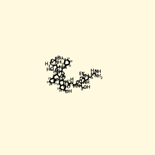 CCCCC(=O)NC(C(=O)NC(Cc1ccccc1)C(=O)NC(Cc1ccccc1)C(=O)NC(Cc1ccc(O)cc1)C(=O)NCC(=O)NCC(=O)NC(CO)C(=O)NC(CCCNC(=N)N)C(=O)NCC)C(C)O